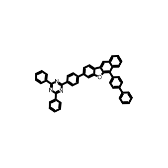 c1ccc(-c2ccc(-c3c4ccccc4cc4c3oc3cc(-c5ccc(-c6nc(-c7ccccc7)nc(-c7ccccc7)n6)cc5)ccc34)cc2)cc1